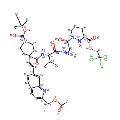 CC(=O)O[C@H](C)c1ccc2ccc(/C=C/C3(C(=O)N[C@H](C(=O)N[C@@H](C)C(=O)N4CCC[C@@H](C(=O)OCC(Cl)(Cl)Cl)N4)C(C)C)CCN(C(=O)OC(C)(C)C)CC3)cc2n1